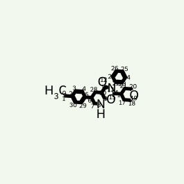 CCc1ccc(C2CNCC(C(=O)N(C(=O)C3CCOCC3)c3ccccc3)C2)cc1